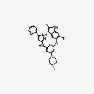 Cc1cc2cc(Oc3nc(Nc4cc(-c5ccccn5)[nH]n4)cc(N4CCN(C)CC4)n3)c(F)cc2[nH]1